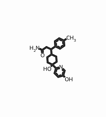 Cc1ccc(C(CC(N)=O)C2CCC(O)(c3ccc(O)cn3)CC2)cc1